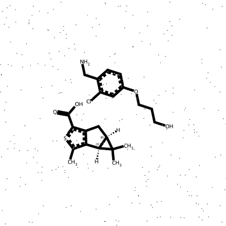 Cc1sc(C(=O)O)c2c1[C@H]1[C@@H](C2)C1(C)C.NCc1ccc(OCCCO)cc1Cl